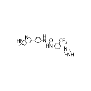 Cc1cc2cc(-c3ccc(NCC(=O)Nc4ccc(CN5CCNCC5)c(C(F)(F)F)c4)cc3)cnc2[nH]1